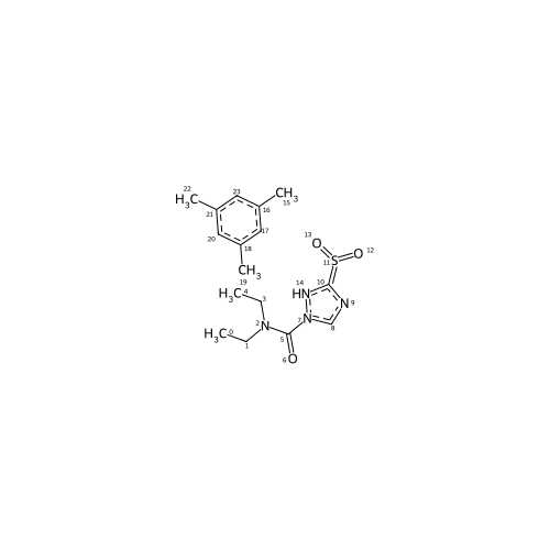 CCN(CC)C(=O)n1cnc(=S(=O)=O)[nH]1.Cc1cc(C)cc(C)c1